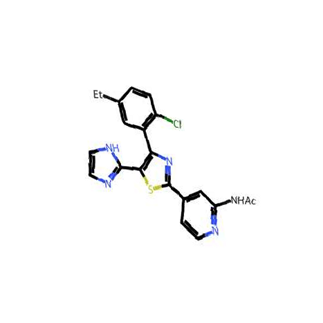 CCc1ccc(Cl)c(-c2nc(-c3ccnc(NC(C)=O)c3)sc2-c2ncc[nH]2)c1